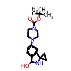 CC(C)(C)OC(=O)N1CCN(c2ccc3c(c2)C2(CC2)NC3O)CC1